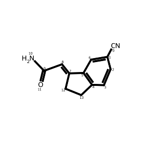 N#Cc1ccc2c(c1)/C(=C/C(N)=O)CC2